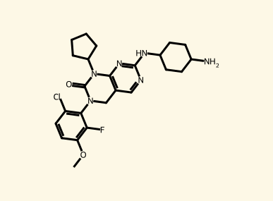 COc1ccc(Cl)c(N2Cc3cnc(NC4CCC(N)CC4)nc3N(C3CCCC3)C2=O)c1F